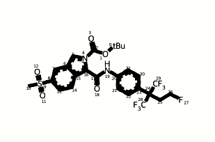 CC(C)(C)OC(=O)n1cc2cc(S(C)(=O)=O)ccc2c1C(=O)Nc1ccc(C(CCF)(C(F)(F)F)C(F)(F)F)cc1